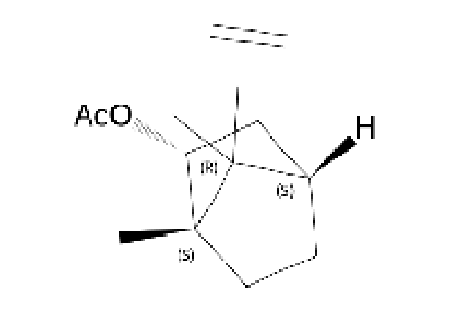 C=C.CC(=O)O[C@@H]1C[C@@H]2CC[C@@]1(C)C2(C)C